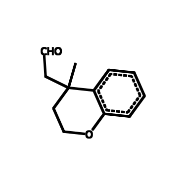 CC1(CC=O)CCOc2ccccc21